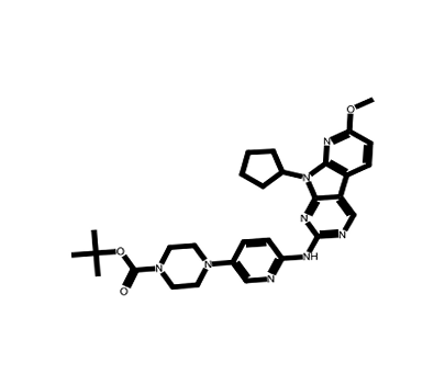 COc1ccc2c3cnc(Nc4ccc(N5CCN(C(=O)OC(C)(C)C)CC5)cn4)nc3n(C3CCCC3)c2n1